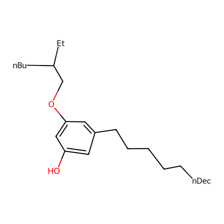 CCCCCCCCCCCCCCCc1cc(O)cc(OCC(CC)CCCC)c1